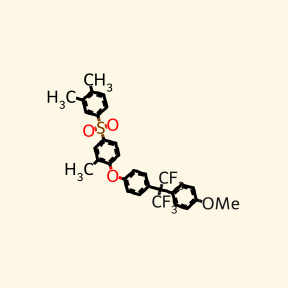 COc1ccc(C(c2ccc(Oc3ccc(S(=O)(=O)c4ccc(C)c(C)c4)cc3C)cc2)(C(F)(F)F)C(F)(F)F)cc1